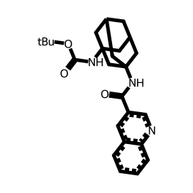 CC(C)(C)OC(=O)NC12CC3CC(C1)CC(NC(=O)c1cnc4ccccc4c1)(C3)C2